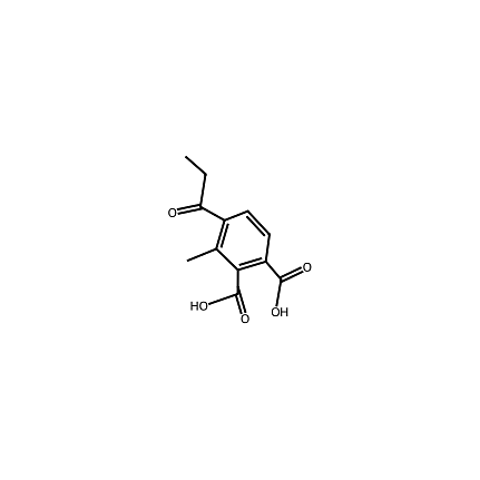 CCC(=O)c1ccc(C(=O)O)c(C(=O)O)c1C